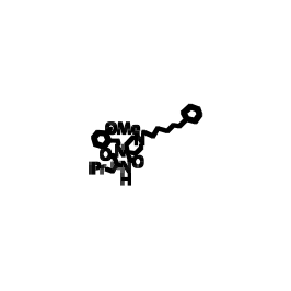 COc1ccccc1CN1C(=O)[C@H](CC(C)C)NC(=O)C12CCN(CCCCCCc1ccccc1)CC2